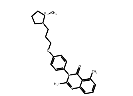 Cc1cccc2nc(C)n(-c3ccc(OCCCN4CCC[C@@H]4C)cc3)c(=O)c12